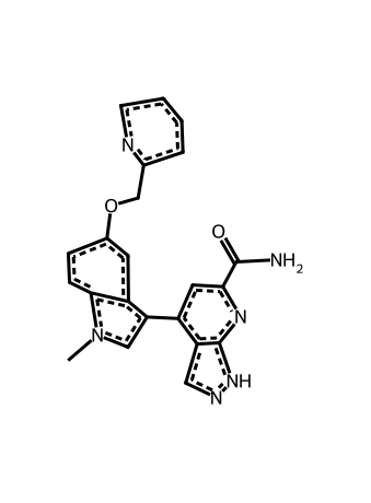 Cn1cc(-c2cc(C(N)=O)nc3[nH]ncc23)c2cc(OCc3ccccn3)ccc21